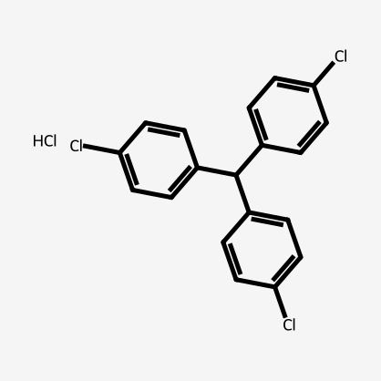 Cl.Clc1ccc(C(c2ccc(Cl)cc2)c2ccc(Cl)cc2)cc1